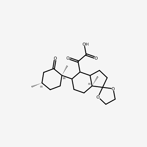 C[C@H]1CC[C@](C)(C2CC[C@@]3(C)C(CCC34OCCO4)C2C(=O)C(=O)O)C(=O)C1